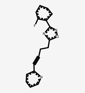 Fc1ccccc1-c1noc(CCC#Cc2ccccn2)n1